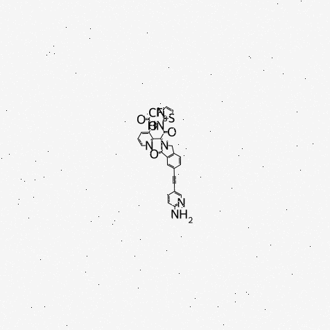 Nc1ccc(C#Cc2ccc3c(c2)C(=O)N(C(C(=O)Nc2nccs2)c2ncccc2OC(=O)C(F)(F)F)C3)cn1